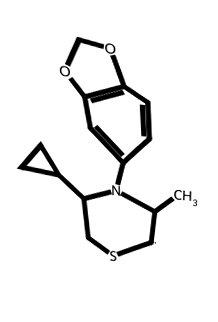 CC1[CH]SCC(C2CC2)N1c1ccc2c(c1)OCO2